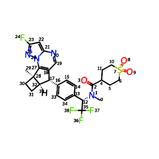 CN(C(=O)C1CCS(=O)(=O)CC1)[C@@H](c1ccc([C@H]2c3cnc4cc(F)nn4c3[C@]3(C)CC[C@H]23)cc1)C(F)(F)F